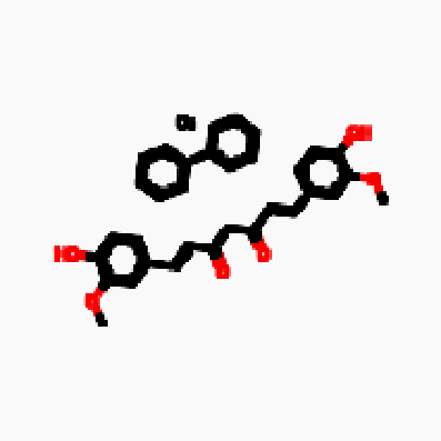 COc1cc(/C=C/C(=O)CC(=O)/C=C/c2ccc(O)c(OC)c2)ccc1O.[Os].c1ccc(-c2ccccc2)cc1